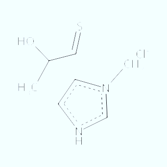 CC(O)C=S.C[n+]1cc[nH]c1.[Cl-]